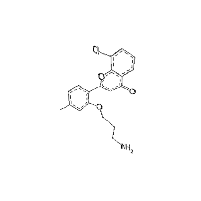 Cc1ccc(-c2cc(=O)c3cccc(Cl)c3o2)c(OCCCN)c1